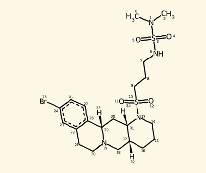 CN(C)S(=O)(=O)NCCCS(=O)(=O)N1CCC[C@@H]2CN3CCc4cc(Br)ccc4[C@@H]3C[C@@H]21